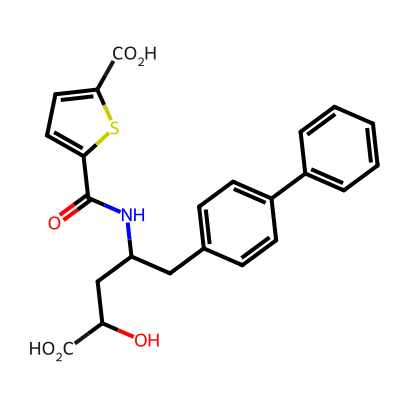 O=C(O)c1ccc(C(=O)NC(Cc2ccc(-c3ccccc3)cc2)CC(O)C(=O)O)s1